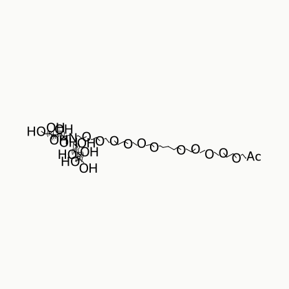 CC(=O)CCOCCOCCOCCOCCOCCCCCOCCOCCOCCOCCOCCOCCN(C[C@H](O)[C@@H](O)[C@H](O)[C@H](O)CO)C[C@H](O)[C@@H](O)[C@H](O)[C@H](O)CO